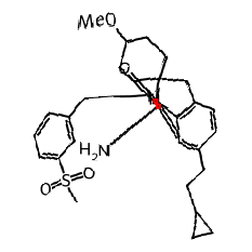 COC1CCC2(CC1)Cc1ccc(CCC3CC3)cc1C21N=C(N)N(Cc2cccc(S(C)(=O)=O)c2)C1=O